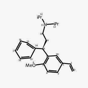 C=Cc1ccc(OC)c([C@H](CCN(C(C)C)C(C)C)c2ccccc2)c1